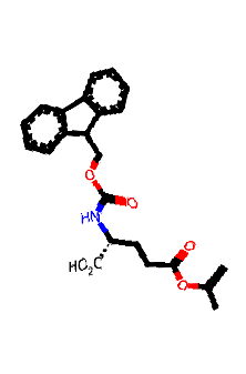 C=C(C)OC(=O)CC[C@@H](NC(=O)OCC1c2ccccc2-c2ccccc21)C(=O)O